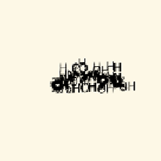 O=Cc1c(C(O)N[C@@H](CNC(=O)CNC(O)c2cc(O)cc(NC3=NCC(O)CN3)c2)C(=O)O)[nH]c2ccccc12